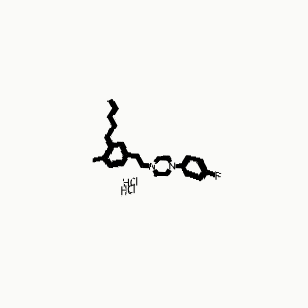 CCCCCc1cc(CCN2CCN(c3ccc(F)cc3)CC2)ccc1C.Cl.Cl